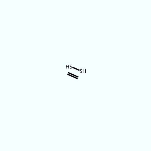 C=C.SS